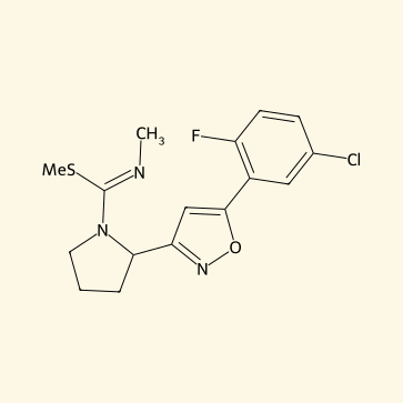 CN=C(SC)N1CCCC1c1cc(-c2cc(Cl)ccc2F)on1